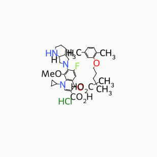 COc1c(N2C[C@@H]3CCCN[C@@H]3C2)c(F)cc2c(=O)c(C(=O)O)cn(C3CC3)c12.Cc1ccc(C)c(OCCCC(C)(C)C(=O)O)c1.Cl